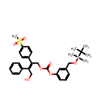 CC(C)(C)[Si](C)(C)OCc1cccc(OC(=O)OCC(=C(CO)c2ccccc2)c2ccc(S(C)(=O)=O)cc2)c1